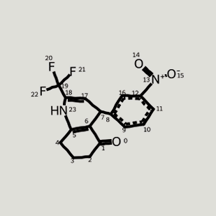 O=C1CCCC2=C1C(c1cccc([N+](=O)[O-])c1)C=C(C(F)(F)F)N2